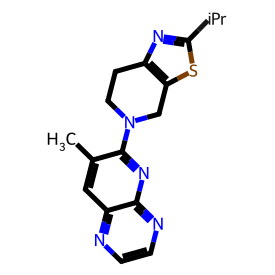 Cc1cc2nccnc2nc1N1CCc2nc(C(C)C)sc2C1